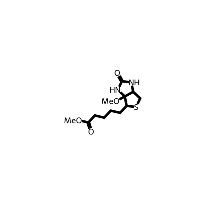 COC(=O)CCCCC1SCC2NC(=O)NC21OC